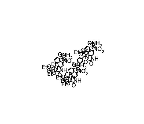 CCOP(=O)(OCC)C(C)n1c(=O)c(=O)[nH]c2cc([N+](=O)[O-])c3c(S(N)(=O)=O)cccc3c21.CCOP(=O)(OCC)C(CC)n1c(=O)c(=O)[nH]c2cc([N+](=O)[O-])c3c(S(N)(=O)=O)cccc3c21.CCOP(=O)(OCC)C(c1ccccc1)n1c(=O)c(=O)[nH]c2cc([N+](=O)[O-])c3c(S(N)(=O)=O)cccc3c21